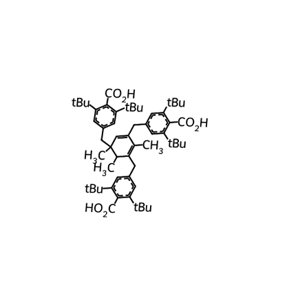 CC1=C(Cc2cc(C(C)(C)C)c(C(=O)O)c(C(C)(C)C)c2)C(C)C(C)(Cc2cc(C(C)(C)C)c(C(=O)O)c(C(C)(C)C)c2)C=C1Cc1cc(C(C)(C)C)c(C(=O)O)c(C(C)(C)C)c1